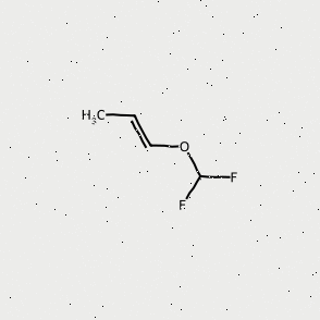 CC=CO[C](F)F